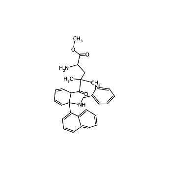 COC(=O)C(N)CC(C)(C)C(=O)C1C=CC=CC1(NCc1ccccn1)c1cccc2ccccc12